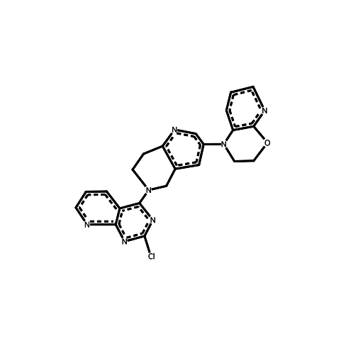 Clc1nc(N2CCc3ncc(N4CCOc5ncccc54)cc3C2)c2cccnc2n1